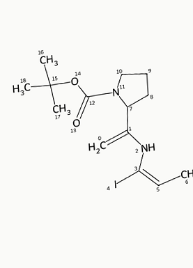 C=C(N/C(I)=C\C)C1CCCN1C(=O)OC(C)(C)C